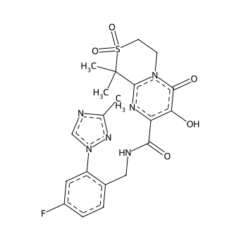 Cc1ncn(-c2cc(F)ccc2CNC(=O)c2nc3n(c(=O)c2O)CCS(=O)(=O)C3(C)C)n1